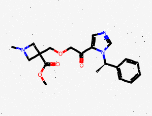 COC(=O)C1(COCC(=O)c2cncn2[C@H](C)c2ccccc2)CN(C)C1